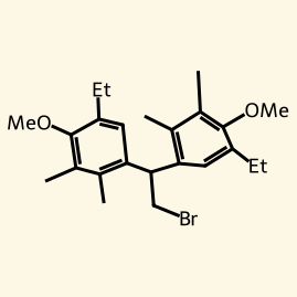 CCc1cc(C(CBr)c2cc(CC)c(OC)c(C)c2C)c(C)c(C)c1OC